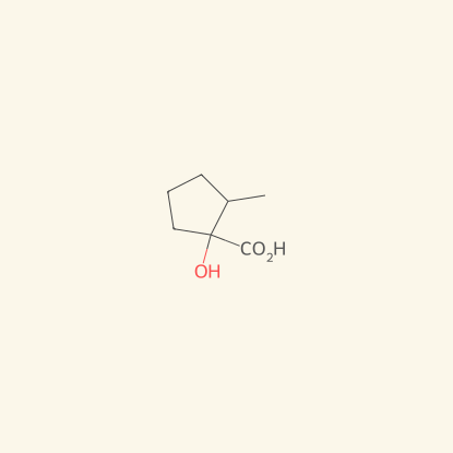 CC1CCCC1(O)C(=O)O